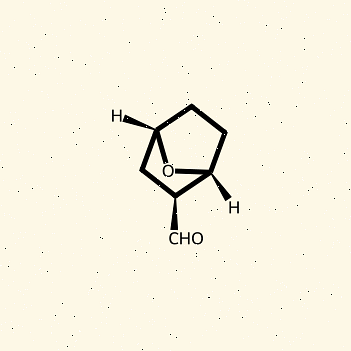 O=C[C@H]1C[C@@H]2CC[C@H]1O2